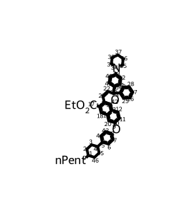 CCCCCC1CCC(c2ccc(Oc3ccc4c5c(c(C(=O)OCC)cc4c3)C=CC(c3ccccc3)(c3ccc(N4CCCCC4)cc3)O5)cc2)CC1